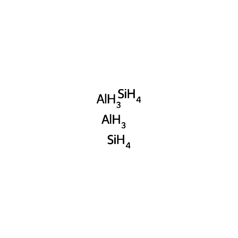 [AlH3].[AlH3].[SiH4].[SiH4]